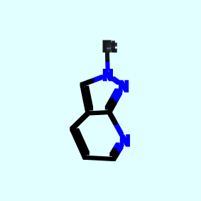 CCn1cc2cccnc2n1